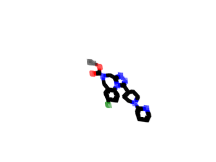 CC[C@H](C)OC(=O)N1Cc2cc(Cl)ccc2-n2c(nnc2C2CCN(c3ccccn3)CC2)C1